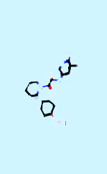 Cc1cc(NC(=O)C(=O)N2C[C@@H](C)CC[C@@H]2C2CCC(O)CC2)cnc1N